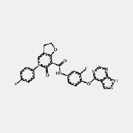 O=C(Nc1ccc(Oc2ncnc3[nH]ncc23)c(F)c1)c1c2c(cn(-c3ccc(F)cc3)c1=O)CCO2